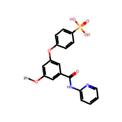 CC(C)Oc1cc(Oc2ccc(P(=O)(O)O)cc2)cc(C(=O)Nc2ccccn2)c1